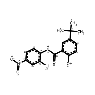 CC(C)(C)c1ccc(O)c(C(=O)Nc2ccc([N+](=O)[O-])cc2Cl)c1